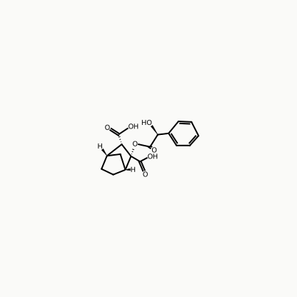 O=C(O[C@]1(C(=O)O)[C@@H]2CC[C@@H](C2)[C@@H]1C(=O)O)[C@@H](O)c1ccccc1